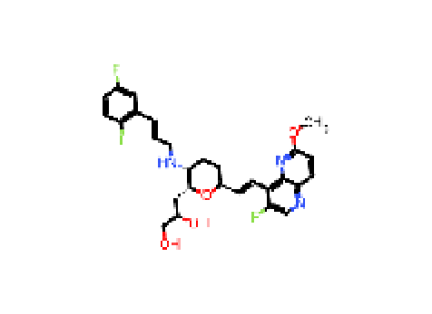 COc1ccc2ncc(F)c(/C=C/[C@@H]3CC[C@@H](NC/C=C/c4cc(F)ccc4F)[C@@H](C[C@@H](O)CO)O3)c2n1